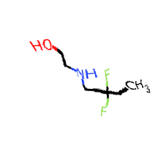 CCC(F)(F)CNCCO